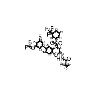 O=C(NC[C@H]1CN(S(=O)(=O)c2cccc(C(F)(F)F)c2)c2cc(-c3cc(F)cc(OC(F)F)c3)ccc2O1)C1(F)CC1